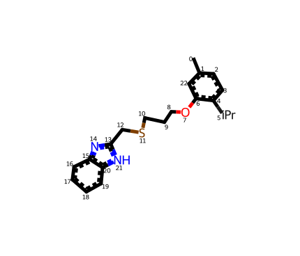 Cc1ccc(C(C)C)c(OCCCSCc2nc3ccccc3[nH]2)c1